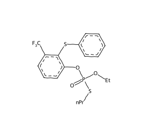 CCCSP(=O)(OCC)Oc1cccc(C(F)(F)F)c1Sc1ccccc1